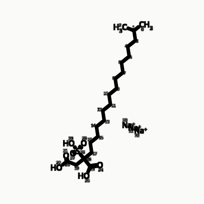 CC(C)CCCCCCCCCCCCCCCC(CC(=O)O)(C(=O)O)S(=O)(=O)O.[Na+].[Na+].[Na+]